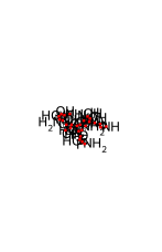 NC[C@@H]1O[C@H](O[C@H]2[C@@H](O)[C@H](O[C@@H]3[C@@H](O)[C@H](NC(=O)C(O)C(F)(F)CN)C[C@H](N)[C@H]3O[C@H]3O[C@H](CNCC4(O)CCNCC4)[C@@H](O)[C@H](O)[C@H]3N)O[C@@H]2CO)[C@H](N)[C@@H](O)[C@@H]1O